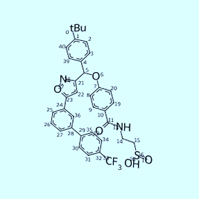 CC(C)(C)c1ccc(C(Oc2ccc(C(=O)NCCS(=O)O)cc2)c2cc(-c3cccc(-c4ccc(C(F)(F)F)cc4)c3)on2)cc1